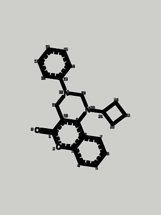 O=c1oc2ccccc2c2c1CN(c1ccccc1)CN2C1CCC1